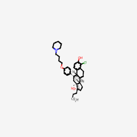 C[C@]12C[C@H](c3ccc(OCCCCN4CCCCC4)cc3)[C@@H]3c4ccc(O)c(Cl)c4CC[C@H]3[C@@H]1CC[C@@]2(O)CCC(=O)O